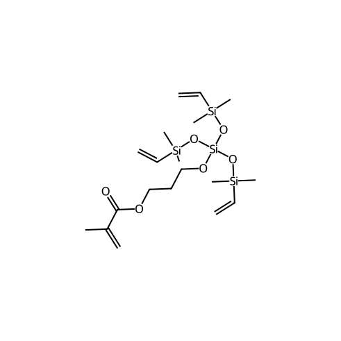 C=C[Si](C)(C)O[Si](OCCCOC(=O)C(=C)C)(O[Si](C)(C)C=C)O[Si](C)(C)C=C